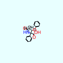 CC(=O)NC(C(=O)O)(c1ccccc1)C(C)Oc1ccccc1